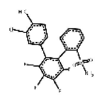 Cc1ccc(-c2c(F)c(F)c(F)c(F)c2-c2ccccc2S(N)(=O)=O)cc1Cl